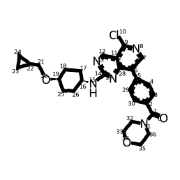 O=C(c1ccc(-c2cnc(Cl)c3cnc(N[C@H]4CC[C@H](OCC5CC5)CC4)nc23)cc1)N1CCOCC1